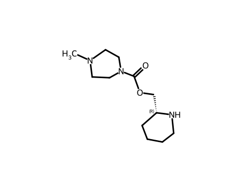 CN1CCN(C(=O)OC[C@H]2CCCCN2)CC1